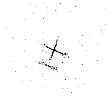 NC(F)(F)F.O=[N+]([O-])O